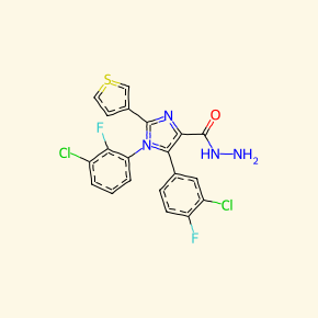 NNC(=O)c1nc(-c2ccsc2)n(-c2cccc(Cl)c2F)c1-c1ccc(F)c(Cl)c1